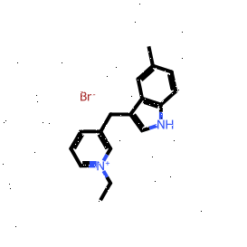 CC[n+]1cccc(Cc2c[nH]c3ccc(C)cc23)c1.[Br-]